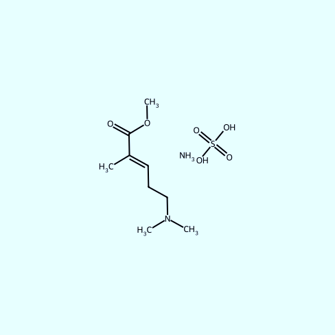 COC(=O)C(C)=CCCN(C)C.N.O=S(=O)(O)O